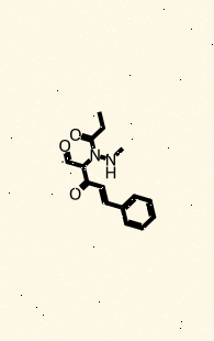 CCC(=O)N(NC)C([C]=O)C(=O)C=Cc1ccccc1